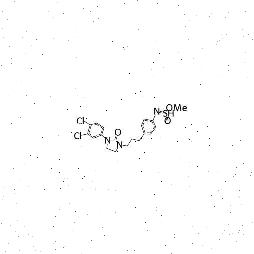 CO[SH](=O)=Nc1ccc(CCCN2CCN(c3ccc(Cl)c(Cl)c3)C2=O)cc1